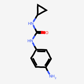 Nc1ccc(NC(=O)NC2CC2)cc1